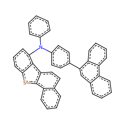 c1ccc(N(c2ccc(-c3cc4ccccc4c4ccccc34)cc2)c2cccc3sc4c5ccccc5ccc4c23)cc1